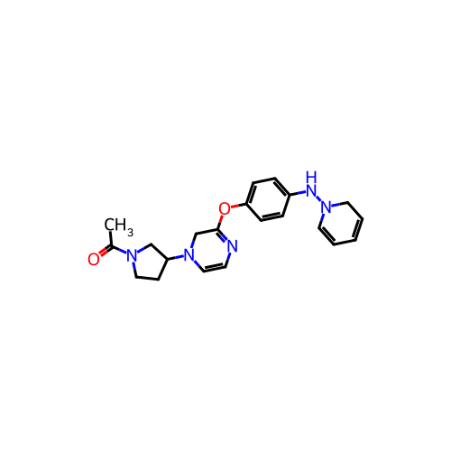 CC(=O)N1CCC(N2C=CN=C(Oc3ccc(NN4C=CC=CC4)cc3)C2)C1